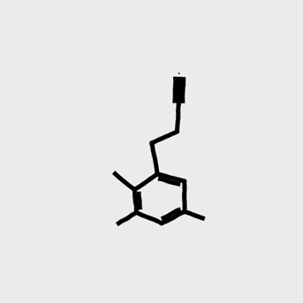 [C]#CCCc1cc(C)cc(C)c1C